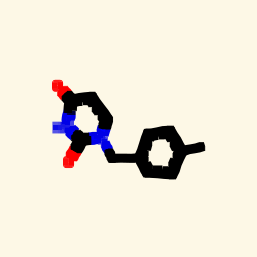 Cc1ccc(Cn2ccc(=O)[nH]c2=O)cc1